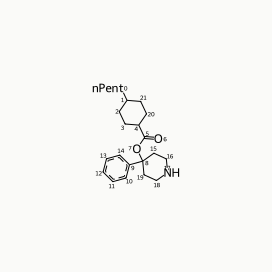 CCCCCC1CCC(C(=O)OC2(c3ccccc3)CCNCC2)CC1